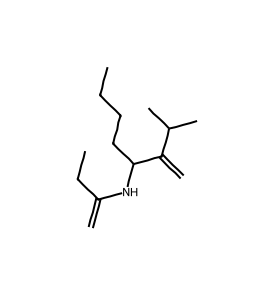 C=C(CC)NC(CCCC)C(=C)C(C)C